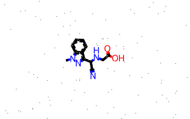 Cn1nc(C(C#N)NCC(=O)O)c2ccccc21